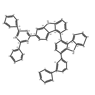 c1ccc(-c2cccc(-c3ccc(-c4cccc5sc6cc(-c7nc(-c8ccccc8)nc(-c8ccccc8)n7)ccc6c45)c4c3sc3ccccc34)c2)cc1